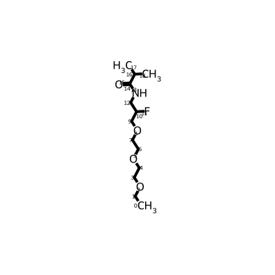 CCOCCOCCOCC(F)CNC(=O)C(C)C